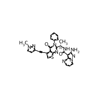 C[C@H](NC(=O)c1c(N)nn2cccnc12)c1nc2scc(C#Cc3ccn(C)n3)c2c(=O)n1-c1ccccc1